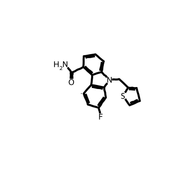 NC(=O)c1cccc2c1c1[c]cc(F)cc1n2Cc1cccs1